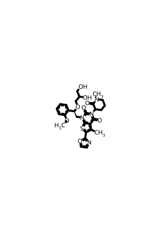 COc1ccccc1[C@H](Cn1c(=O)n(C2CCCN(C)C2=O)c(=O)c2c(C)c(-c3ncco3)sc21)OCC(O)CO